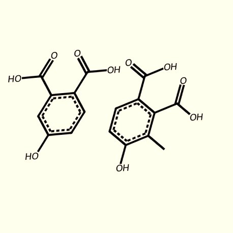 Cc1c(O)ccc(C(=O)O)c1C(=O)O.O=C(O)c1ccc(O)cc1C(=O)O